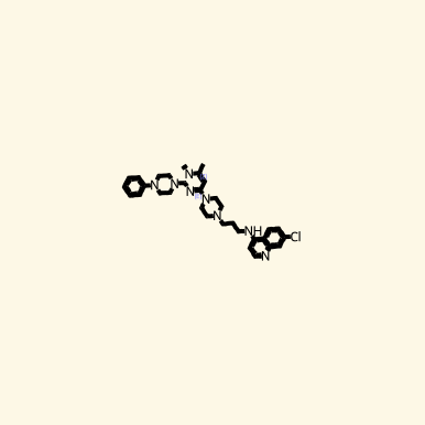 C=N/C(C)=C\C(=N/CN1CCN(c2ccccc2)CC1)N1CCN(CCCNc2ccnc3cc(Cl)ccc23)CC1